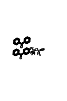 CC(C)[SiH2]O[Si](C(C)C)(C(C)C)C(C)C.O=C(c1ccccc1)c1ccccc1.O=C(c1ccccc1)c1ccccc1